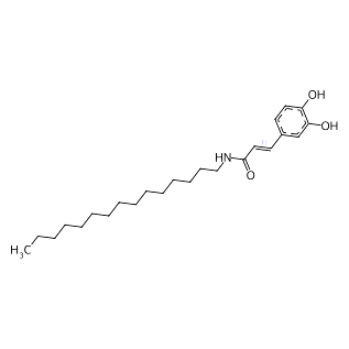 CCCCCCCCCCCCCCCNC(=O)/C=C/c1ccc(O)c(O)c1